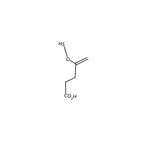 C=C(CCC(=O)O)OS